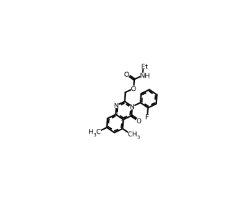 CCNC(=O)OCc1nc2cc(C)cc(C)c2c(=O)n1-c1ccccc1F